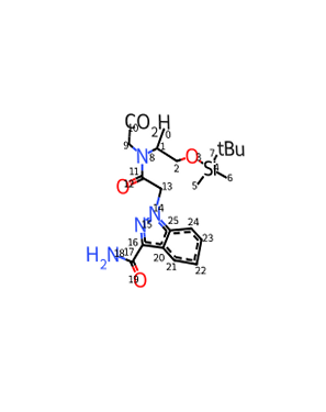 CC(CO[Si](C)(C)C(C)(C)C)N(CC(=O)O)C(=O)Cn1nc(C(N)=O)c2ccccc21